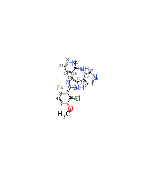 COc1ccc(F)c(-c2nc3c([nH]2)-c2ccncc2Nc2ncccc2-3)c1Cl